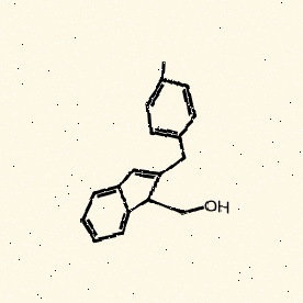 Cc1ccc(CC2=Cc3ccccc3C2CO)cc1